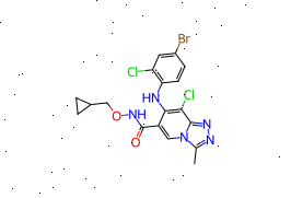 Cc1nnc2c(Cl)c(Nc3ccc(Br)cc3Cl)c(C(=O)NOCC3CC3)cn12